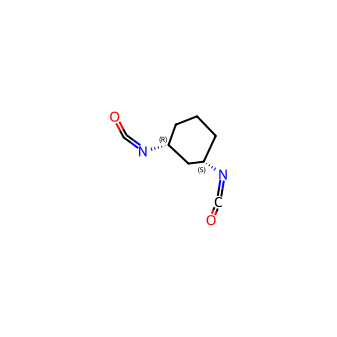 O=C=N[C@@H]1CCC[C@H](N=C=O)C1